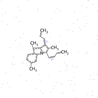 C=C/C=C\c1c(C)/c(=C/C=C)c2c(C)c3ccc(C)cc3n12